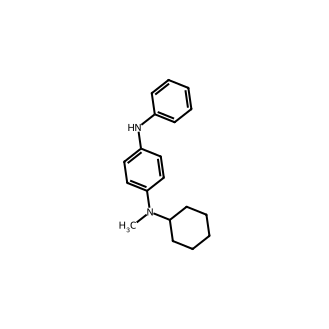 CN(c1ccc(Nc2ccccc2)cc1)C1CCCCC1